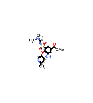 COC(=O)c1cc(N)c(Oc2ccc(C)nc2)c(S(=O)(=O)/N=C/N(C)C)c1